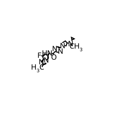 Cc1cn2cc(NC(=O)c3cnc(N4CCC(N(C)C5CC5)C4)cn3)cc(F)c2n1